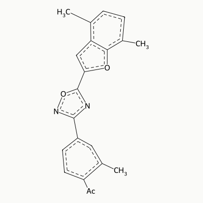 CC(=O)c1ccc(-c2noc(-c3cc4c(C)ccc(C)c4o3)n2)cc1C